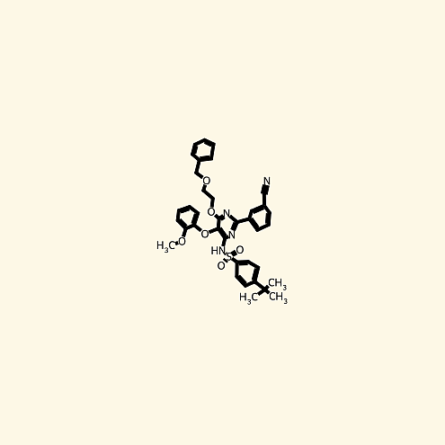 COc1ccccc1Oc1c(NS(=O)(=O)c2ccc(C(C)(C)C)cc2)nc(-c2cccc(C#N)c2)nc1OCCOCc1ccccc1